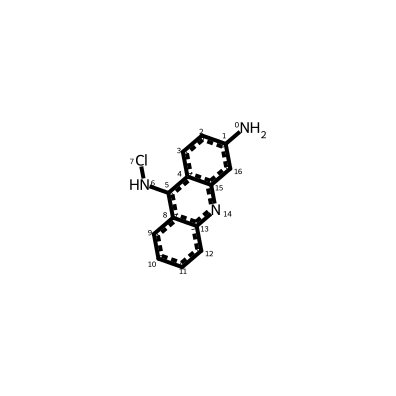 Nc1ccc2c(NCl)c3ccccc3nc2c1